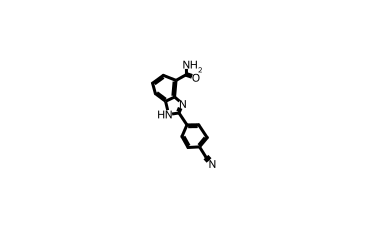 N#Cc1ccc(-c2nc3c(C(N)=O)cccc3[nH]2)cc1